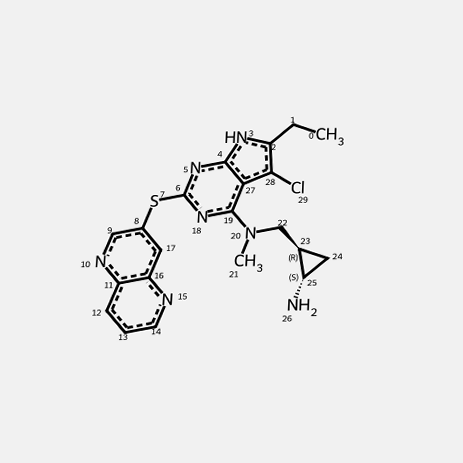 CCc1[nH]c2nc(Sc3cnc4cccnc4c3)nc(N(C)C[C@H]3C[C@@H]3N)c2c1Cl